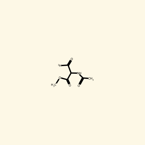 [2H]C(=O)C(NC(C)=O)C(=O)OC